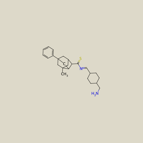 CC12CC3CC(c4ccccc4)(CC1C3C(=S)N=CC1CCC(CN)CC1)C2